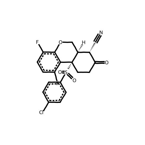 N#C[C@@H]1C(=O)CC[C@@]2(S(=O)(=O)c3ccc(Cl)cc3)c3c(F)ccc(F)c3OC[C@@H]12